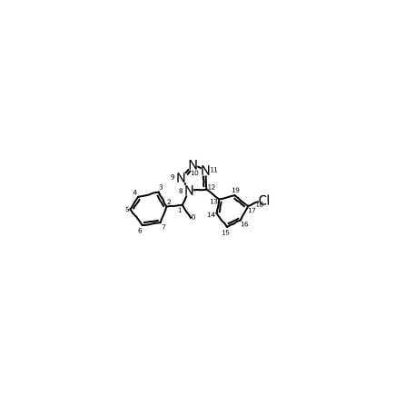 CC(c1ccccc1)n1nnnc1-c1cccc(Cl)c1